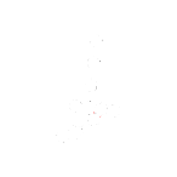 c1ccc(-c2ccc(-c3ccc(N(c4ccc5ccccc5c4)c4ccccc4-c4cccc5oc6cc7ccccc7cc6c45)cc3)cc2)cc1